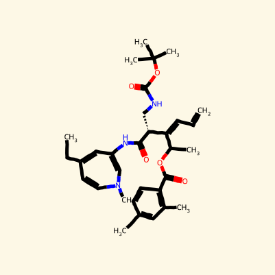 C=C/C=C(\C(C)OC(=O)c1ccc(C)cc1C)[C@@H](CNC(=O)OC(C)(C)C)C(=O)NC1=CN(C)C=CC(CC)=C1